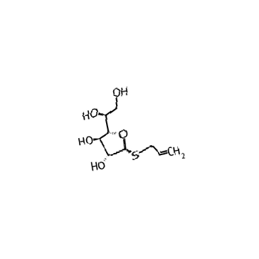 C=CCS[C@@H]1O[C@@H]([C@@H](O)CO)[C@H](O)[C@H]1O